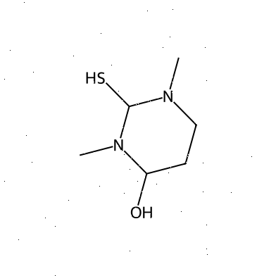 CN1CCC(O)N(C)C1S